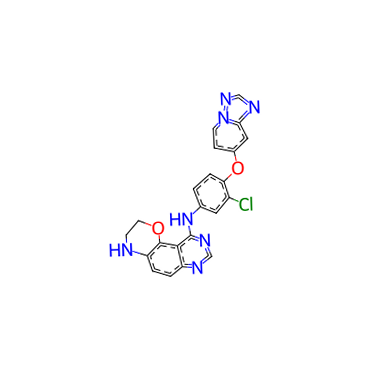 Clc1cc(Nc2ncnc3ccc4c(c23)OCCN4)ccc1Oc1ccn2ncnc2c1